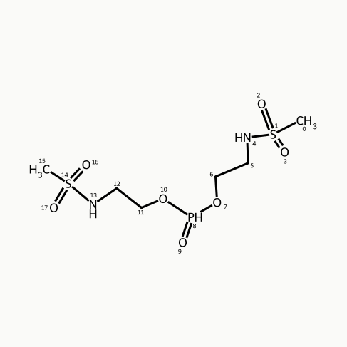 CS(=O)(=O)NCCO[PH](=O)OCCNS(C)(=O)=O